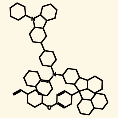 C=CC1CCC(OC2=CCC(C3(C4CCCC5CCCCC54)C4CCCCC4C4CCC(N(C5=C6CCCCC6CCC5)C5CCC(C6CCC7C(C6)C6CCCCC6N7C6CCCCC6)CC5)CC43)C=C2)CC1